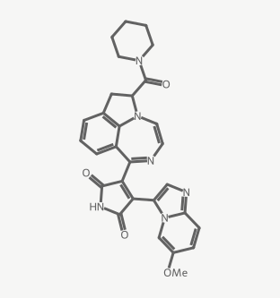 COc1ccc2ncc(C3=C(C4=NC=CN5c6c(cccc64)CC5C(=O)N4CCCCC4)C(=O)NC3=O)n2c1